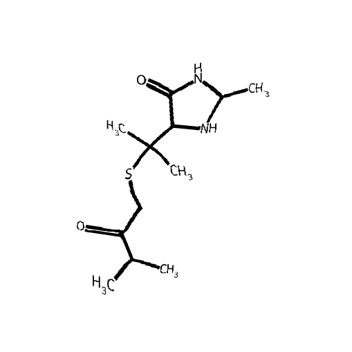 CC1NC(=O)C(C(C)(C)SCC(=O)C(C)C)N1